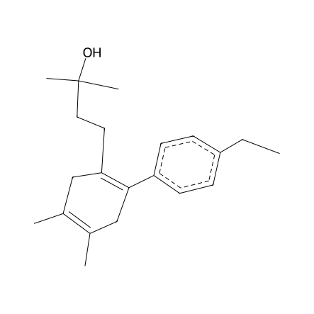 CCc1ccc(C2=C(CCC(C)(C)O)CC(C)=C(C)C2)cc1